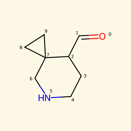 O=CC1CCNCC12CC2